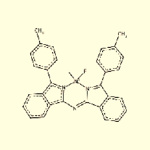 Cc1ccc(C2=[N+]3C(=Nc4c5ccccc5c(-c5ccc(C)cc5)n4[N+]3(F)F)c3ccccc32)cc1